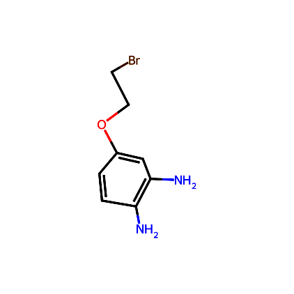 Nc1ccc(OCCBr)cc1N